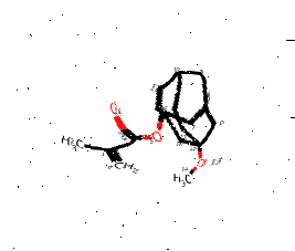 C=C(C)C(=O)OC12CC3CC(CC(OC)(C3)C1)C2